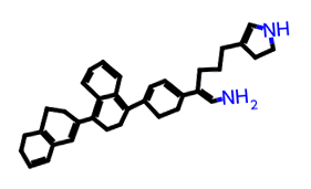 N/C=C(\CCCC1=CNCC1)C1=CC=C(C2=c3ccccc3=C(C3=CC4=C(CCC=C4)CC3)CC2)CC1